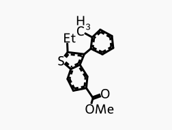 CCc1sc2ccc(C(=O)OC)cc2c1-c1ccccc1C